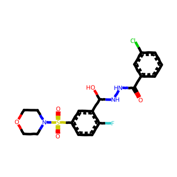 O=C(NNC(O)c1cc(S(=O)(=O)N2CCOCC2)ccc1F)c1cccc(Cl)c1